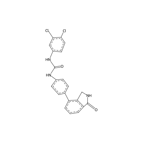 O=C(Nc1ccc(-c2cccc3c2CNC3=O)cc1)Nc1ccc(Cl)c(Cl)c1